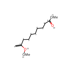 C=C(CCCCCCCC(=O)OC)OOC